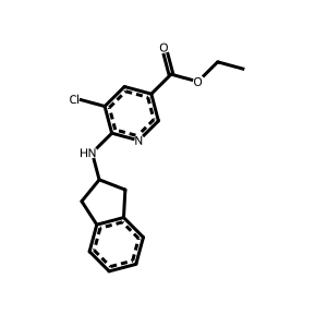 CCOC(=O)c1cnc(NC2Cc3ccccc3C2)c(Cl)c1